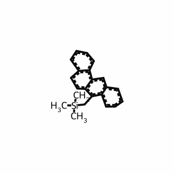 C[Si](C)(C)Cc1c2ccccc2cc2c1ccc1ccccc12